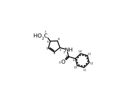 O=C(NC1C=CC(C(=O)O)C1)c1ccccc1